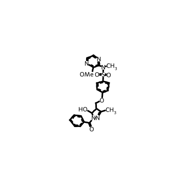 COc1nccnc1N(C)S(=O)(=O)c1ccc(OCC2C(C)=NN(C(=O)c3ccccc3)C2O)cc1